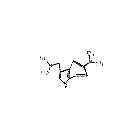 CN(C)Cc1c[nH]c2ccc(N(C)C)cc12